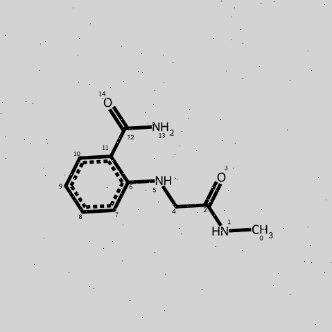 CNC(=O)CNc1ccccc1C(N)=O